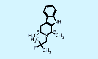 C[C@@H]1Cc2c([nH]c3ccccc23)[C@@H](C)N1CC(C)(C)F